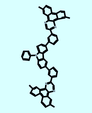 Cc1ccc2c3ccc(C)cc3c3nc(-c4cccc(-c5ccc6c(c5)c5cc(-c7cccc(-c8cnc9c%10cc(C)ccc%10c%10ccc(C)cc%10c9n8)c7)ccc5n6-c5ccccc5)c4)cnc3c2c1